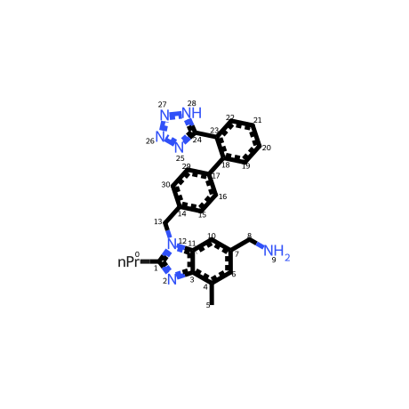 CCCc1nc2c(C)cc(CN)cc2n1Cc1ccc(-c2ccccc2-c2nnn[nH]2)cc1